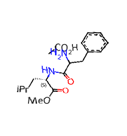 CC(=O)O.COC(=O)[C@H](CC(C)C)NC(=O)C(N)Cc1ccccc1